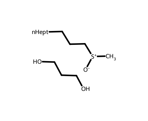 CCCCCCCCCC[S+](C)[O-].OCCCO